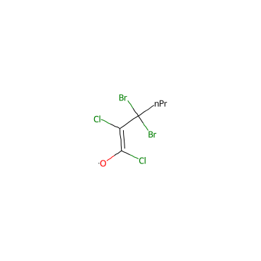 CCCC(Br)(Br)C(Cl)=C([O])Cl